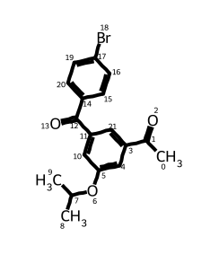 CC(=O)c1cc(OC(C)C)cc(C(=O)c2ccc(Br)cc2)c1